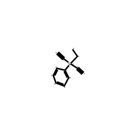 C#C[Si](C#C)(CC)c1ccccc1